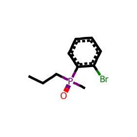 CCCP(C)(=O)c1ccccc1Br